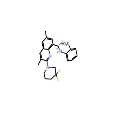 Cc1cc([C@H](C)Nc2ccccc2C(=O)O)c2nc(N3CCCC(F)(F)C3)c(C)cc2c1